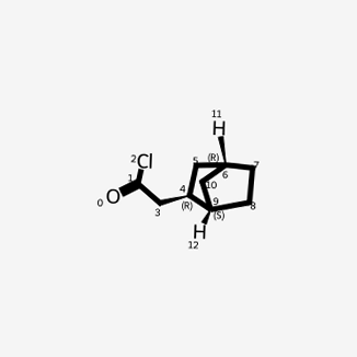 O=C(Cl)C[C@H]1C[C@@H]2CC[C@H]1C2